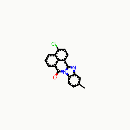 Cc1ccc2c(c1)nc1c3ccc(Cl)c4cccc(c(=O)n21)c43